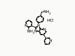 Cl.NCc1ccc(-n2c(-c3cccnc3N)nc3cc(-c4cccnc4)cnc32)cc1